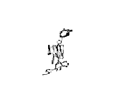 CCOC(=O)CN(C(=O)[C@@H](NC(=O)OCc1ccccc1)C(C)C)C1CCCC1